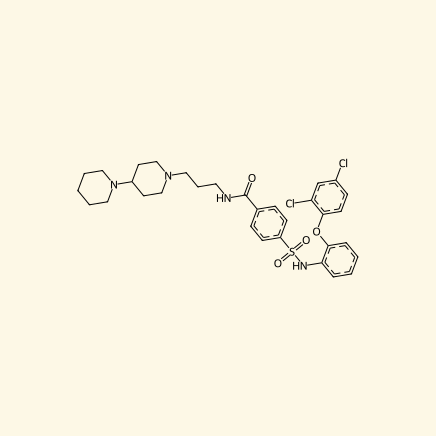 O=C(NCCCN1CCC(N2CCCCC2)CC1)c1ccc(S(=O)(=O)Nc2ccccc2Oc2ccc(Cl)cc2Cl)cc1